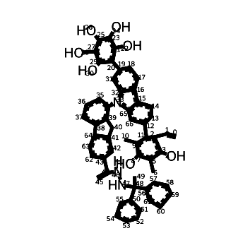 C=Cc1c(O)c(C)c(O)c(C)c1-c1ccc2c3ccc(-c4c(O)c(O)c(O)c(O)c4O)cc3n(-c3cccc4c3Cc3cc(C(=C)NNC(C)(c5ccccc5)c5ccccc5)ccc3-4)c2c1